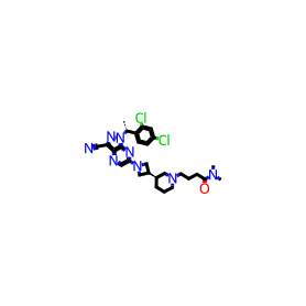 C[C@H](c1ccc(Cl)cc1Cl)n1nc(C#N)c2ncc(N3CC([C@@H]4CCCN(CCCC(=O)N(C)C)C4)C3)nc21